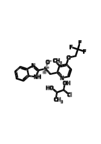 CC(O)C(O)Cl.Cc1c(OCC(F)(F)F)ccnc1C[S@@+]([O-])c1nc2ccccc2[nH]1